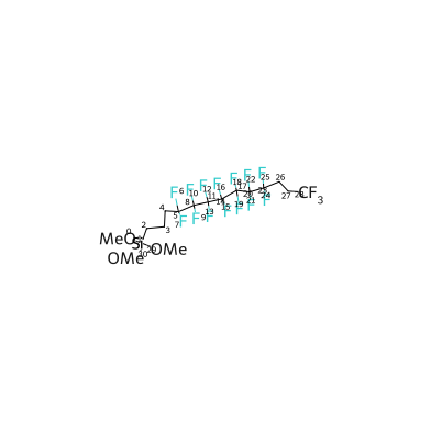 CO[Si](CCCC(F)(F)C(F)(F)C(F)(F)C(F)(F)C(F)(F)C(F)(F)C(F)(F)CCC(F)(F)F)(OC)OC